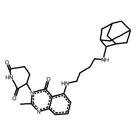 Cc1nc2cccc(NCCCCNC3C4CC5CC(C4)CC3C5)c2c(=O)n1C1CCC(=O)NC1=O